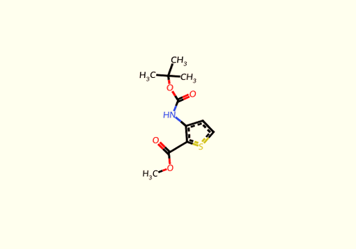 COC(=O)c1sccc1NC(=O)OC(C)(C)C